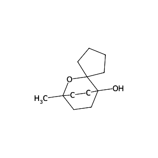 CC12CCC(O)(CC1)C1(CCCC1)O2